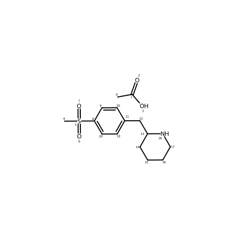 CC(=O)O.CS(=O)(=O)c1ccc(CC2CCCCN2)cc1